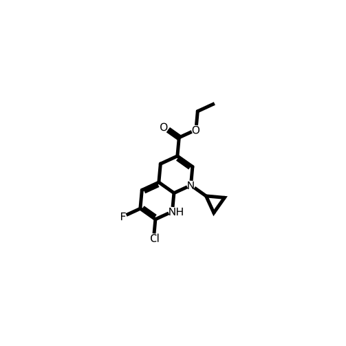 CCOC(=O)C1=CN(C2CC2)C2NC(Cl)=C(F)C=C2C1